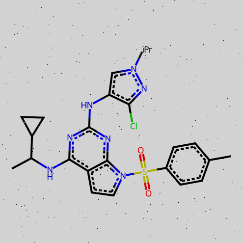 Cc1ccc(S(=O)(=O)n2ccc3c(NC(C)C4CC4)nc(Nc4cn(C(C)C)nc4Cl)nc32)cc1